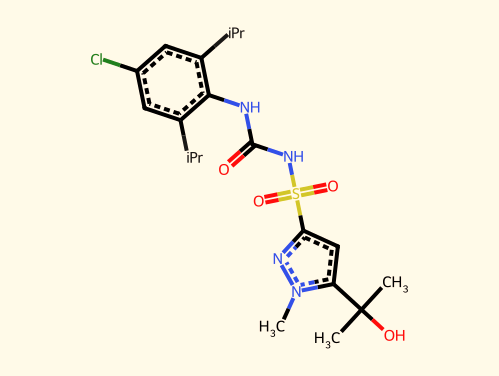 CC(C)c1cc(Cl)cc(C(C)C)c1NC(=O)NS(=O)(=O)c1cc(C(C)(C)O)n(C)n1